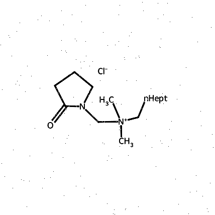 CCCCCCCC[N+](C)(C)CN1CCCC1=O.[Cl-]